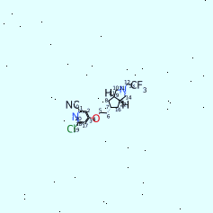 N#Cc1cc(OCC[C@@H]2C[C@@H]3CN(CC(F)(F)F)C[C@@H]3C2)cc(Cl)n1